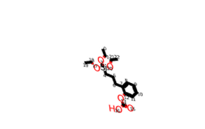 CCO[Si](CCCc1ccccc1OC(=O)O)(OCC)OCC